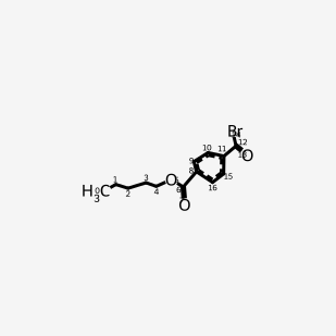 CCCCCOC(=O)c1ccc(C(=O)Br)cc1